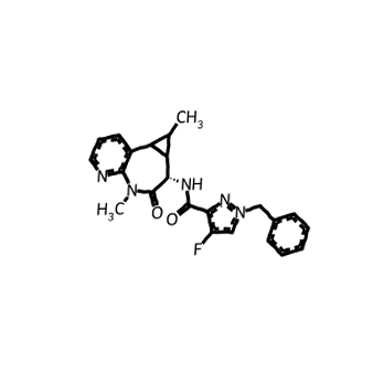 CC1C2c3cccnc3N(C)C(=O)[C@@H](NC(=O)c3nn(Cc4ccccc4)cc3F)C12